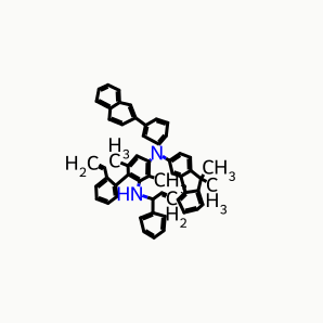 C=Cc1ccccc1-c1c(C)cc(N(c2cccc(-c3ccc4ccccc4c3)c2)c2ccc3c(c2)-c2ccccc2C3(C)C)c(C)c1NC(C=C)c1ccccc1